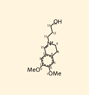 COc1cc2c(cc1OC)CC[N+](CCCO)=C2